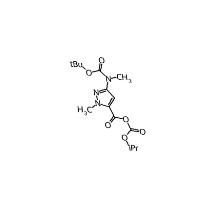 CC(C)OC(=O)OC(=O)c1cc(N(C)C(=O)OC(C)(C)C)nn1C